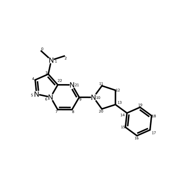 CN(C)c1cnn2ccc(N3CCC(c4ccccc4)C3)nc12